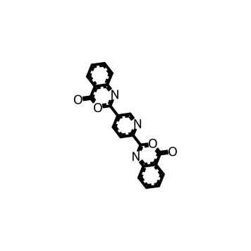 O=c1oc(-c2ccc(-c3nc4ccccc4c(=O)o3)nc2)nc2ccccc12